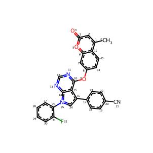 Cc1cc(=O)oc2cc(Oc3ncnc4c3c(-c3ccc(C#N)cc3)cn4-c3ccccc3F)ccc12